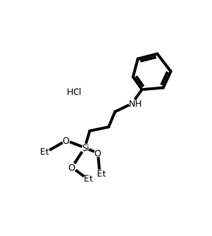 CCO[Si](CCCNc1ccccc1)(OCC)OCC.Cl